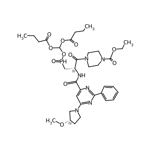 CCCC(=O)OC(OC(=O)CCC)O[PH](=O)C[C@@H](NC(=O)c1cc(N2CC[C@H](OC)C2)nc(-c2ccccc2)n1)C(=O)N1CCN(C(=O)OCC)CC1